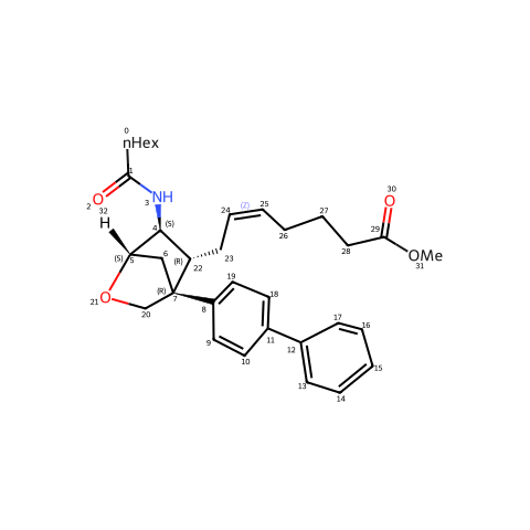 CCCCCCC(=O)N[C@@H]1[C@@H]2C[C@@](c3ccc(-c4ccccc4)cc3)(CO2)[C@H]1C/C=C\CCCC(=O)OC